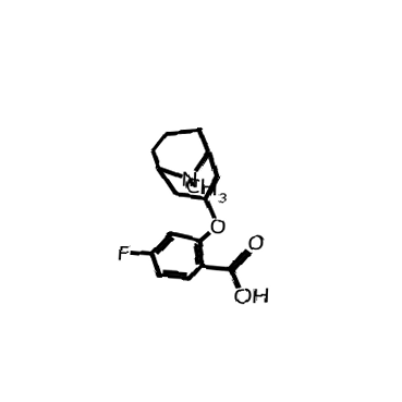 CN1C2CCCC1CC(Oc1cc(F)ccc1C(=O)O)C2